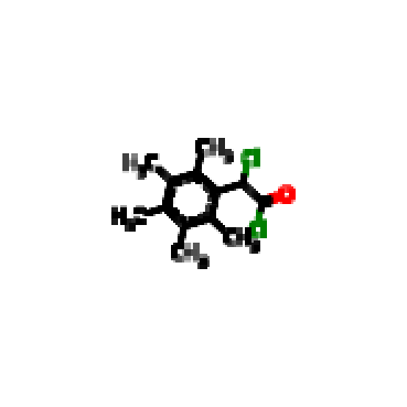 Cc1c(C)c(C)c(C(Cl)C(=O)Cl)c(C)c1C